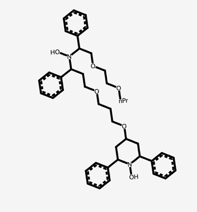 CCCOCCOCC(c1ccccc1)N(O)C(CCOCCCOC1CC(c2ccccc2)N(O)C(c2ccccc2)C1)c1ccccc1